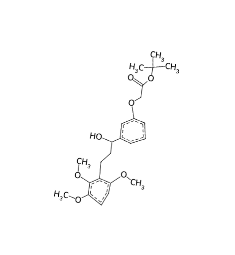 COc1ccc(OC)c(OC)c1CCC(O)c1cccc(OCC(=O)OC(C)(C)C)c1